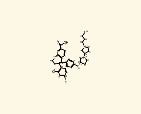 O=C(O)c1ccc2c(c1)CCCC(c1ccc(Cl)cc1Cl)=C2c1ccc(O[C@H]2CCN(C3CCN(CCCF)C3)C2)cc1